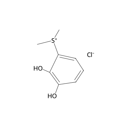 C[S+](C)c1cccc(O)c1O.[Cl-]